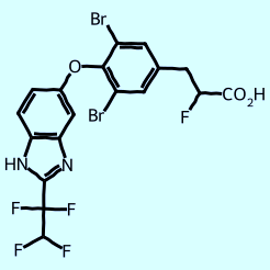 O=C(O)C(F)Cc1cc(Br)c(Oc2ccc3[nH]c(C(F)(F)C(F)F)nc3c2)c(Br)c1